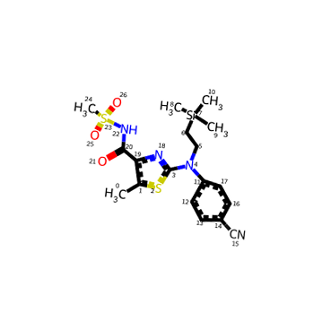 Cc1sc(N(CC[Si](C)(C)C)c2ccc(C#N)cc2)nc1C(=O)NS(C)(=O)=O